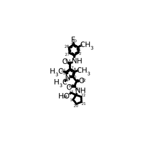 Cc1cc(NC(=O)c2c(C)c(C(=O)C(=O)NC3(CO)CCCC3)n(C)c2C)ccc1F